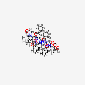 CC(C)CC(NC(=O)C(Cc1ccccc1)NC(=O)C(CC(C)C)N(COC(=O)C(C)(C)C)C(=O)C(CCc1ccccc1)NC(=O)CN1CCOCC1)C(=O)C1(C)CO1